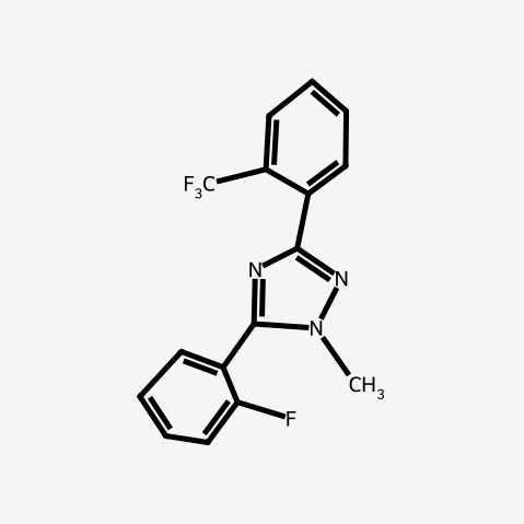 Cn1nc(-c2ccccc2C(F)(F)F)nc1-c1ccccc1F